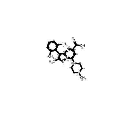 Cc1cccc(C)c1-c1c(C)nn2c(N3CCN(C)CC3)cc(C(=O)O)nc12